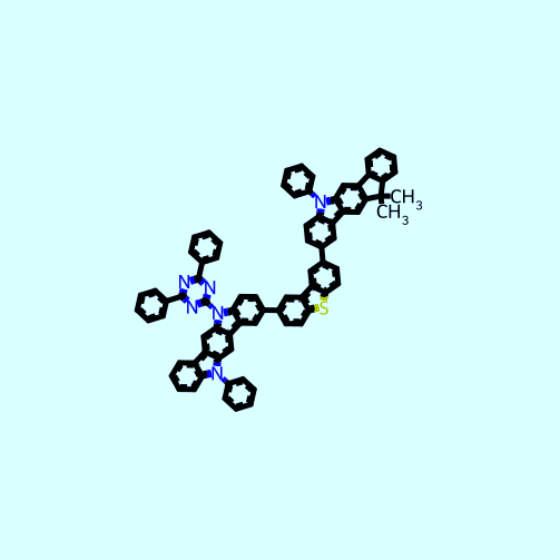 CC1(C)c2ccccc2-c2cc3c(cc21)c1cc(-c2ccc4sc5ccc(-c6ccc7c(c6)c6cc8c(cc6n7-c6nc(-c7ccccc7)nc(-c7ccccc7)n6)c6ccccc6n8-c6ccccc6)cc5c4c2)ccc1n3-c1ccccc1